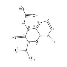 CC(C)C1Oc2c(F)cccc2N(CC(=O)O)C1=S